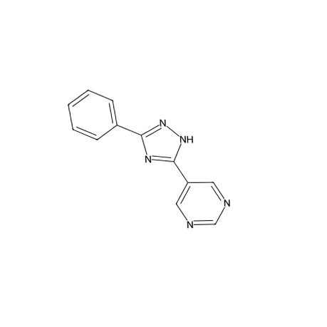 c1ccc(-c2n[nH]c(-c3cncnc3)n2)cc1